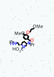 COCCCOc1cc(C(=O)N(C(C)C)[C@@H]2CC[C@H](CCNC(C)C)N(C(=O)O)C2)ccc1OC